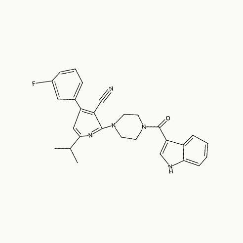 CC(C)c1cc(-c2cccc(F)c2)c(C#N)c(N2CCN(C(=O)c3c[nH]c4ccccc34)CC2)n1